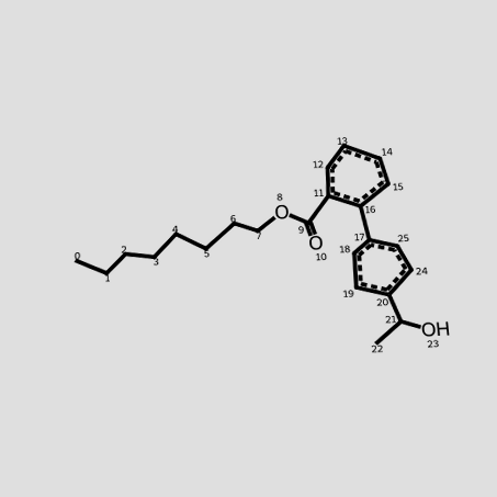 CCCCCCCCOC(=O)c1ccccc1-c1ccc(C(C)O)cc1